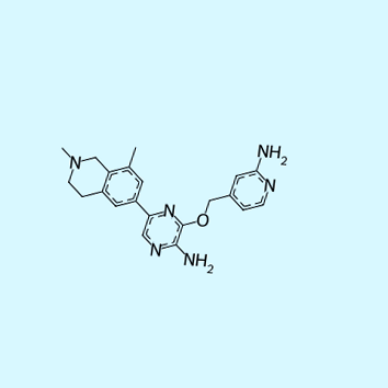 Cc1cc(-c2cnc(N)c(OCc3ccnc(N)c3)n2)cc2c1CN(C)CC2